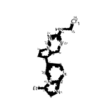 CCc1cnc2ncc(-c3ccn4nc(NCC(F)(F)F)ncc34)cn12